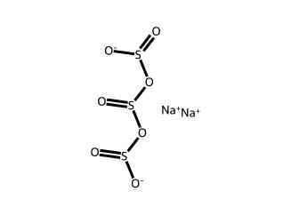 O=S([O-])OS(=O)OS(=O)[O-].[Na+].[Na+]